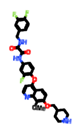 COc1c(OCC2CCNCC2)ccc2c(Oc3ccc(NC(=O)C(=O)NCc4ccc(F)c(F)c4)cc3F)ccnc12